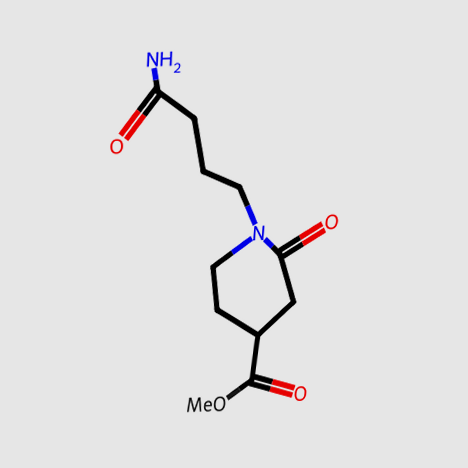 COC(=O)C1CCN(CCCC(N)=O)C(=O)C1